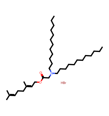 Br.CCCCCCCCCCCCN(CCCCCCCCCCCC)CC(=O)OC/C=C(\C)CCC=C(C)C